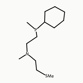 CSCCN(C)CCP(C)C1CCCCC1